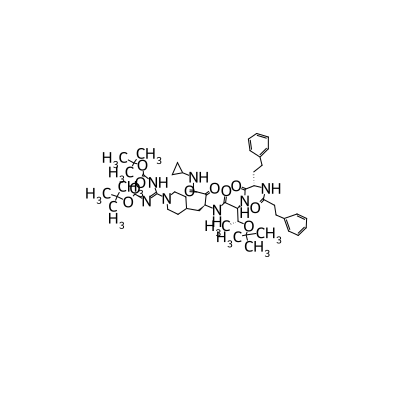 C[C@@H](OC(C)(C)C)[C@H](NC(=O)[C@H](CCc1ccccc1)NC(=O)CCc1ccccc1)C(=O)N[C@@H](CC1CCN(/C(=N/C(=O)OC(C)(C)C)NC(=O)OC(C)(C)C)CC1)C(=O)C(=O)NC1CC1